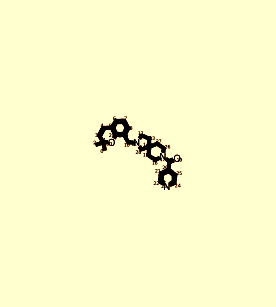 CC1(C)C=Cc2cccc(CN3CCC4(CCN(C(=O)c5ccncc5)CC4)C3)c2O1